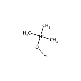 CCO[N+](C)(C)C